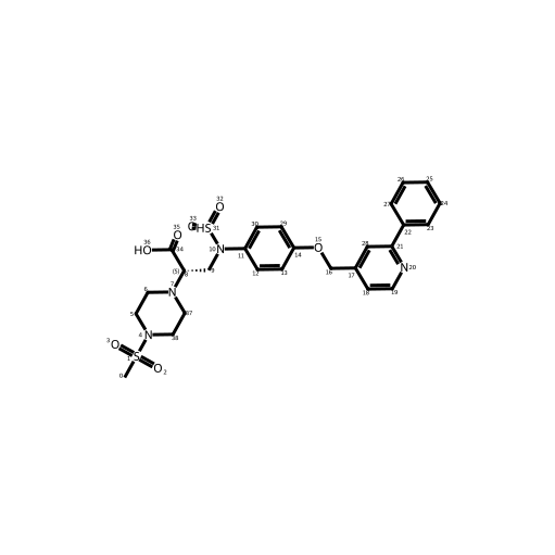 CS(=O)(=O)N1CCN([C@@H](CN(c2ccc(OCc3ccnc(-c4ccccc4)c3)cc2)[SH](=O)=O)C(=O)O)CC1